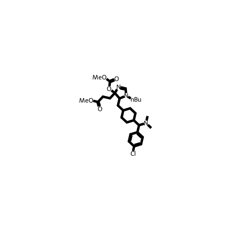 CCCCN1C=NC(CCC(=O)OC)(OC(=O)OC)C1CC1CCC(C(c2ccc(Cl)cc2)N(C)C)CC1